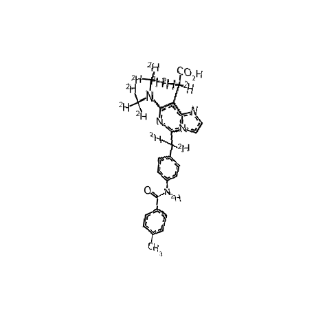 [2H]N(C(=O)c1ccc(C)cc1)c1ccc(C([2H])([2H])c2nc(N(C([2H])([2H])[2H])C([2H])([2H])[2H])c(C([2H])([2H])C(=O)O)c3nccn23)cc1